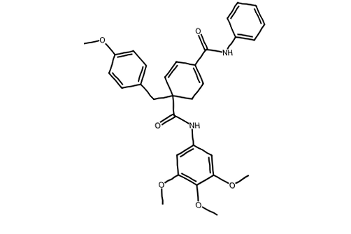 COc1ccc(CC2(C(=O)Nc3cc(OC)c(OC)c(OC)c3)C=CC(C(=O)Nc3ccccc3)=CC2)cc1